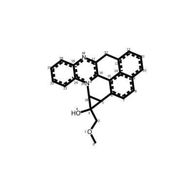 COCC1(O)C2c3ccc4cccc5c4c3-c3c(nc4ccccc4[n+]3C21)C5